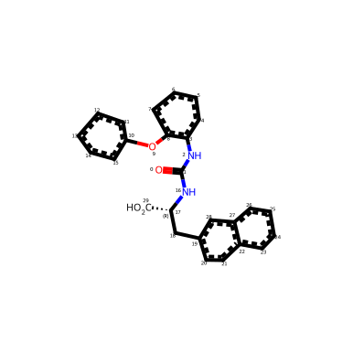 O=C(Nc1ccccc1Oc1ccccc1)N[C@H](Cc1ccc2ccccc2c1)C(=O)O